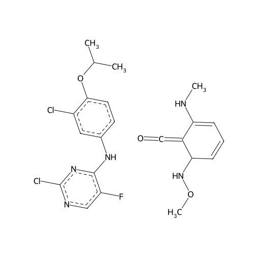 CC(C)Oc1ccc(Nc2nc(Cl)ncc2F)cc1Cl.CNC1=CC=CC(NOC)C1=C=O